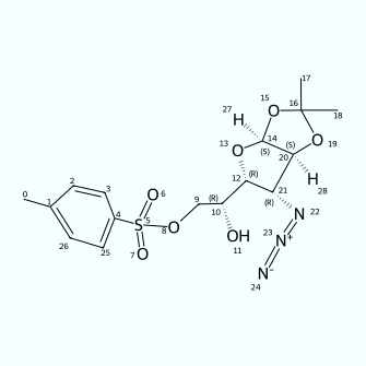 Cc1ccc(S(=O)(=O)OC[C@@H](O)[C@@H]2O[C@H]3OC(C)(C)O[C@H]3[C@@H]2N=[N+]=[N-])cc1